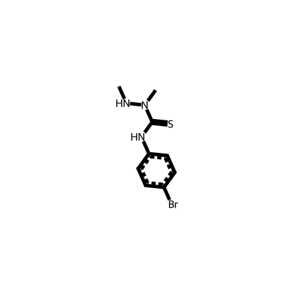 CNN(C)C(=S)Nc1ccc(Br)cc1